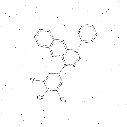 FC(F)(F)c1cc(-c2nnc(-c3ccccc3)c3cc4ccccc4cc23)cc(C(F)(F)F)c1C(F)(F)F